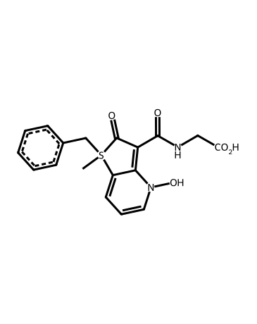 CS1(Cc2ccccc2)C(=O)C(C(=O)NCC(=O)O)=C2C1=CC=CN2O